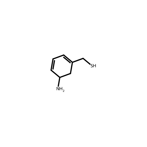 NC1C=CC=C(CS)C1